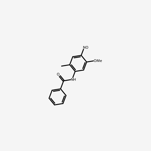 COc1cc(NC(=O)c2ccccc2)c(C)cc1N=O